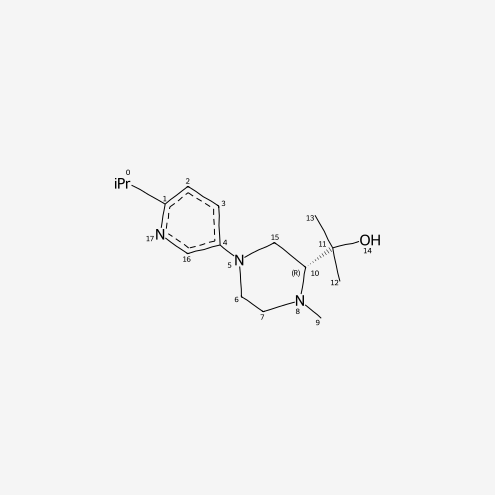 CC(C)c1ccc(N2CCN(C)[C@@H](C(C)(C)O)C2)cn1